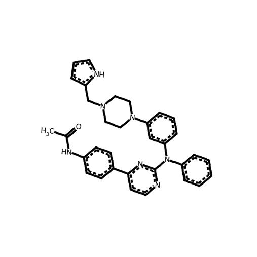 CC(=O)Nc1ccc(-c2ccnc(N(c3ccccc3)c3cccc(N4CCN(Cc5ccc[nH]5)CC4)c3)n2)cc1